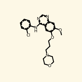 COc1cc2ncnc(Nc3ccccc3Cl)c2cc1OCCCN1CCOCC1